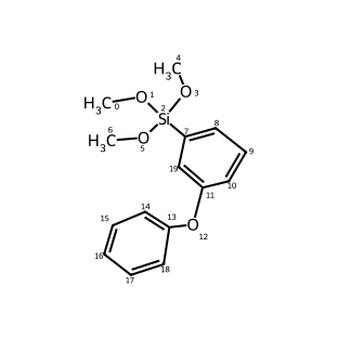 CO[Si](OC)(OC)c1cccc(Oc2ccccc2)c1